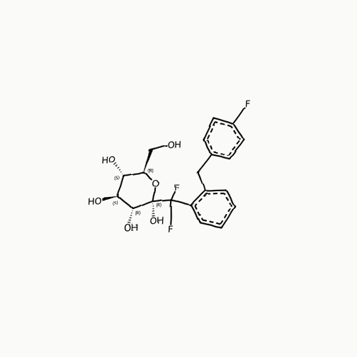 OC[C@H]1O[C@@](O)(C(F)(F)c2ccccc2Cc2ccc(F)cc2)[C@H](O)[C@@H](O)[C@@H]1O